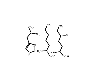 NCCCC[C@H](N)C(=O)O.NC[C@H](O)CC[C@H](N)C(=O)O.N[C@@H](Cc1c[nH]cn1)C(=O)O